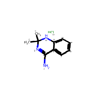 CC1(C)N=C(N)c2ccccc2N1.Cl